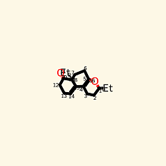 CCC1CCC2=C(CC[C@]3(CC)C(=O)CCC=C23)O1